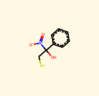 O=[N+]([O-])C(O)(CS)c1ccccc1